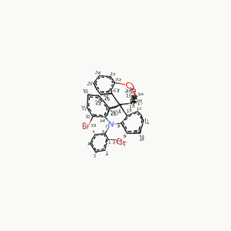 Brc1ccccc1N1c2ccccc2C2(c3ccccc3Oc3ccccc32)c2cccc(Br)c21